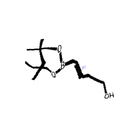 CC1(C)OB(/C=C/CO)OC1(C)C